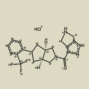 Cl.O=C(c1n[nH]c2c1CNC2)N1C[C@H]2CC(c3ccccc3C(F)(F)F)C[C@H]2C1